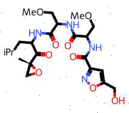 COCC(NC(=O)c1cc(CO)on1)C(=O)NC(COC)C(=O)NC(CC(C)C)C(=O)[C@@]1(C)CO1